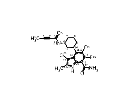 CC#CC(=O)N[C@H]1CCC[C@@H](c2c(F)c(F)c(C(N)=O)c3[nH]c(C)c(Cl)c23)C1